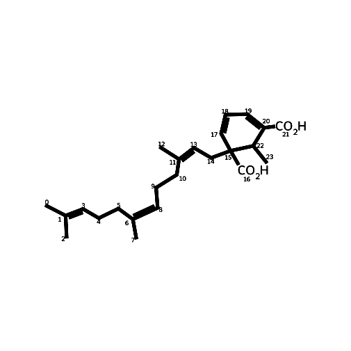 CC(C)=CCCC(C)=CCCC(C)=CCC1(C(=O)O)C=CC=C(C(=O)O)C1C